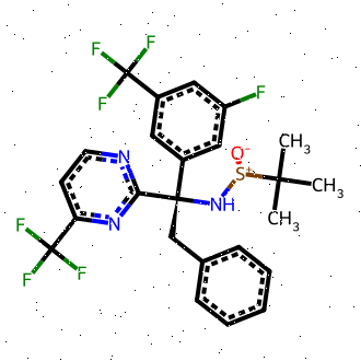 CC(C)(C)[S@@+]([O-])N[C@@](Cc1ccccc1)(c1cc(F)cc(C(F)(F)F)c1)c1nccc(C(F)(F)F)n1